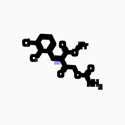 CC(C)OC(=O)/C(=C\c1cccc(Cl)c1Cl)C(=O)COC(N)=O